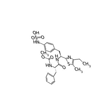 CCc1nc([C@H](Cc2ccc(NS(=O)(=O)O)cc2)NC(=O)[C@H](Cc2ccccc2)NC(=O)OC)sc1C